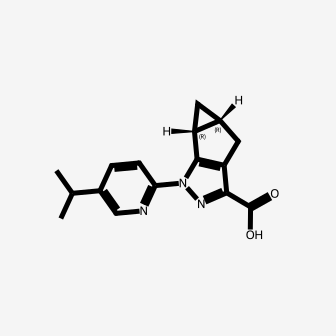 CC(C)c1ccc(-n2nc(C(=O)O)c3c2[C@@H]2C[C@@H]2C3)nc1